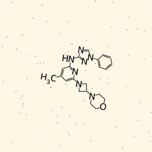 Cc1cc(Nc2ncn(-c3ccccc3)n2)nc(N2CC(N3CCOCC3)C2)c1